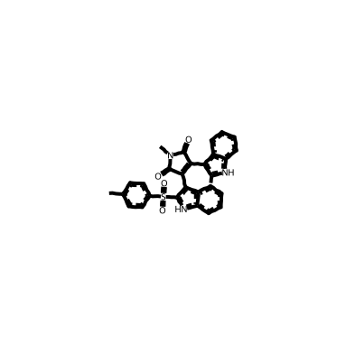 Cc1ccc(S(=O)(=O)c2[nH]c3ccccc3c2C2=C(c3c(C)[nH]c4ccccc34)C(=O)N(C)C2=O)cc1